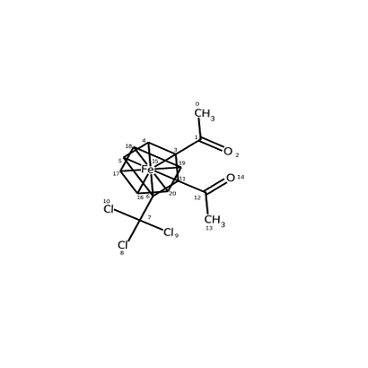 CC(=O)[C]12[CH]3[CH]4[C]5(C(Cl)(Cl)Cl)[C]1(C(C)=O)[Fe]34251678[CH]2[CH]1[CH]6[CH]7[CH]28